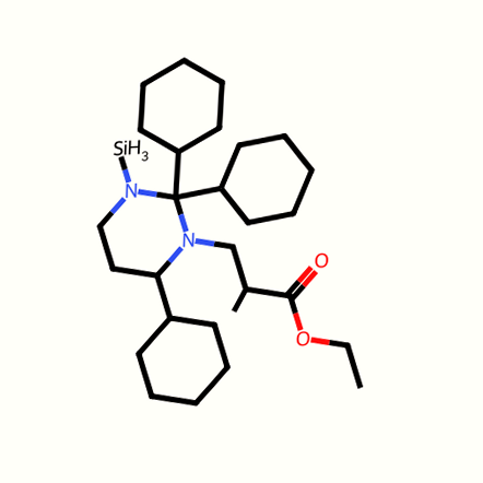 CCOC(=O)C(C)CN1C(C2CCCCC2)CCN([SiH3])C1(C1CCCCC1)C1CCCCC1